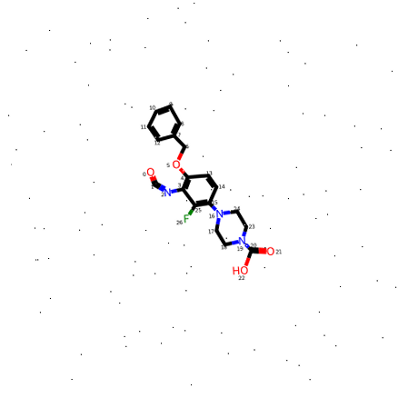 O=C=Nc1c(OCc2ccccc2)ccc(N2CCN(C(=O)O)CC2)c1F